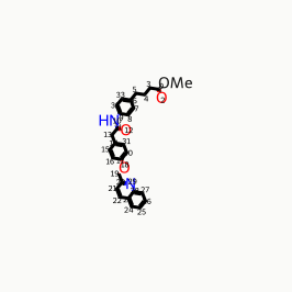 COC(=O)CCCc1ccc(NC(=O)Cc2ccc(OCc3ccc4ccccc4n3)cc2)cc1